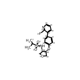 CC(C)S(=O)(=O)N[C@@H]1COC[C@@H]1Oc1ccc(-c2cccnc2F)cc1